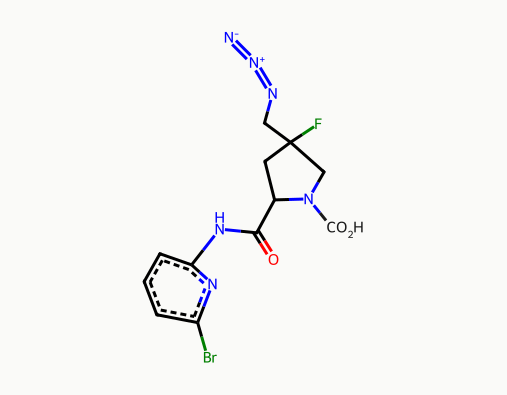 [N-]=[N+]=NCC1(F)CC(C(=O)Nc2cccc(Br)n2)N(C(=O)O)C1